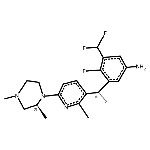 Cc1nc(N2CCN(C)C[C@@H]2C)ccc1[C@@H](C)c1cc(N)cc(C(F)F)c1F